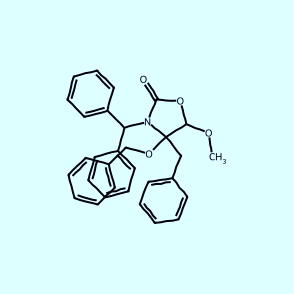 COC1OC(=O)N(C(c2ccccc2)c2ccccc2)C1(Cc1ccccc1)OCc1ccccc1